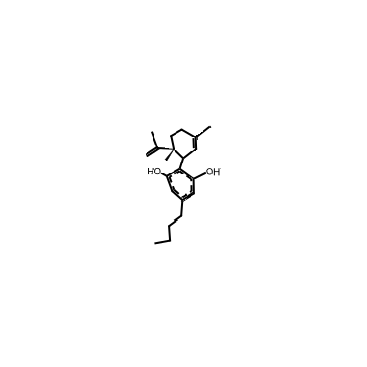 C=C(C)[C@]1(C)CCC(C)=CC1c1c(O)cc(CCCC)cc1O